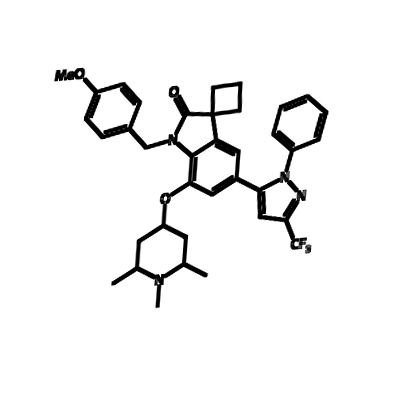 COc1ccc(CN2C(=O)C3(CCC3)c3cc(-c4cc(C(F)(F)F)nn4-c4ccccc4)cc(OC4CC(C)N(C)C(C)C4)c32)cc1